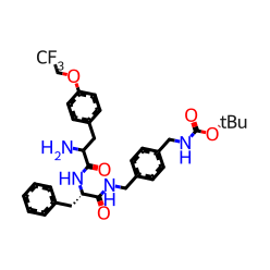 CC(C)(C)OC(=O)NCc1ccc(CNC(=O)[C@H](Cc2ccccc2)NC(=O)C(N)Cc2ccc(OCC(F)(F)F)cc2)cc1